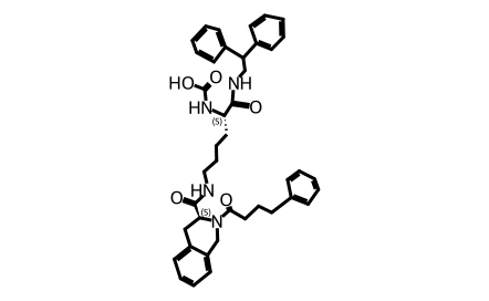 O=C(O)N[C@@H](CCCCNC(=O)[C@@H]1Cc2ccccc2CN1C(=O)CCCc1ccccc1)C(=O)NCC(c1ccccc1)c1ccccc1